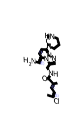 C=C(/C=C\C(=C/N)n1nncc1CNC(=O)/C(C)=C/C=C(\C)Cl)N1CCCNCC1